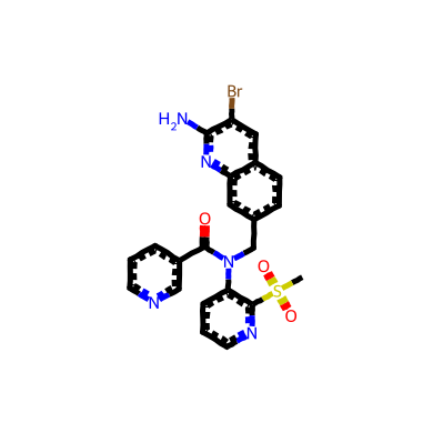 CS(=O)(=O)c1ncccc1N(Cc1ccc2cc(Br)c(N)nc2c1)C(=O)c1cccnc1